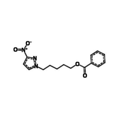 O=C(OCCCCCn1ccc([N+](=O)[O-])n1)c1ccccc1